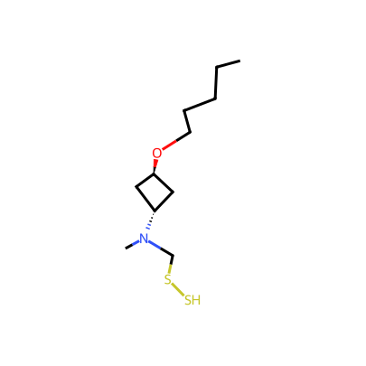 CCCCCO[C@H]1C[C@H](N(C)CSS)C1